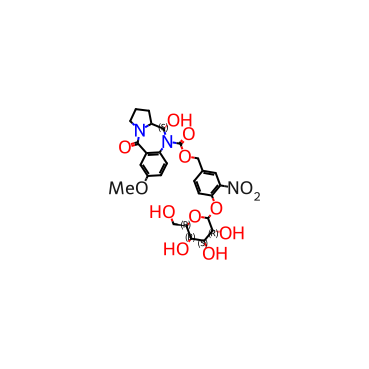 COc1ccc2c(c1)C(=O)N1CCCC1[C@H](O)N2C(=O)OCc1ccc(OC2O[C@H](CO)[C@H](O)[C@H](O)[C@H]2O)c([N+](=O)[O-])c1